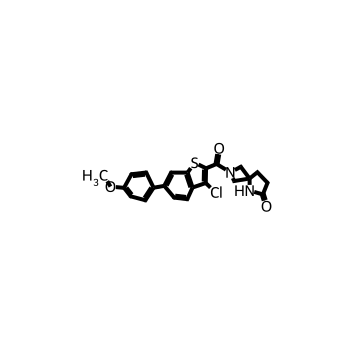 COc1ccc(-c2ccc3c(Cl)c(C(=O)N4CC5(CCC(=O)N5)C4)sc3c2)cc1